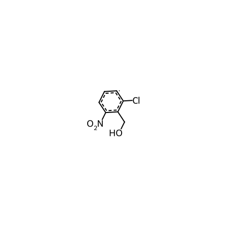 O=[N+]([O-])c1cc[c]c(Cl)c1CO